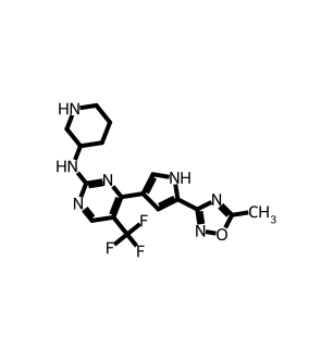 Cc1nc(-c2cc(-c3nc(NC4CCCNC4)ncc3C(F)(F)F)c[nH]2)no1